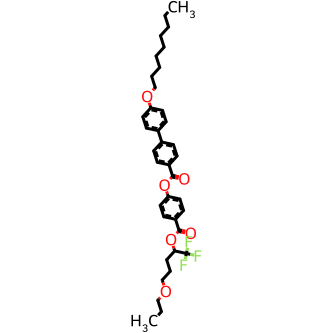 CCCCCCCCCOc1ccc(-c2ccc(C(=O)Oc3ccc(C(=O)OC(CCCOCCC)C(F)(F)F)cc3)cc2)cc1